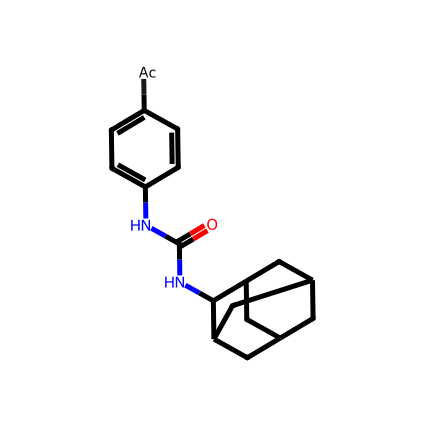 CC(=O)c1ccc(NC(=O)NC2C3CC4CC(C3)CC2C4)cc1